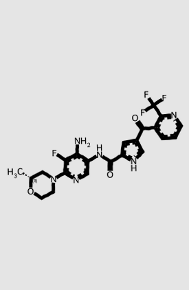 C[C@@H]1CN(c2ncc(NC(=O)c3cc(C(=O)c4cccnc4C(F)(F)F)c[nH]3)c(N)c2F)CCO1